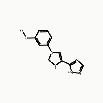 [CH2]COc1cccc(N2C=C(c3ncn[nH]3)NC2)c1